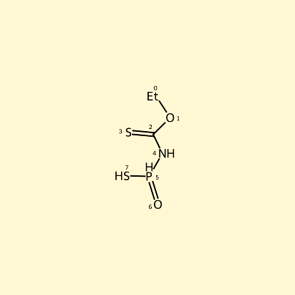 CCOC(=S)N[PH](=O)S